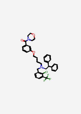 O=C(c1cccc(OCCCCN(Cc2cccc(C(F)(F)F)c2Cl)CC(c2ccccc2)c2ccccc2)c1)N1CCOCC1